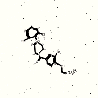 CCOC(=O)CSc1ccc(C(=O)N2CCN(c3c(Cl)cccc3Cl)CC2)cc1[N+](=O)[O-]